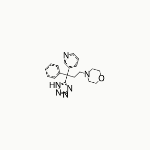 c1ccc(C(CCN2CCOCC2)(c2cccnc2)c2nnn[nH]2)cc1